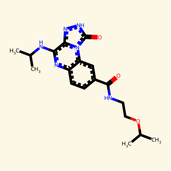 CC(C)Nc1nc2ccc(C(=O)NCCOC(C)C)cc2n2c(=O)[nH]nc12